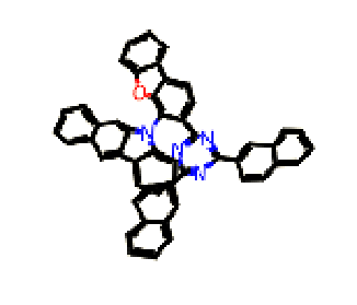 c1ccc2cc(-c3nc(-c4ccc5ccccc5c4)nc(-c4ccc5c(oc6ccccc65)c4-n4c5ccccc5c5cc6ccccc6cc54)n3)ccc2c1